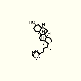 C[C@H](CCc1nncnn1)[C@H]1CC[C@H]2[C@@H]3CC[C@@H]4C[C@H](O)CC[C@]4(C)[C@H]3CC[C@]12C